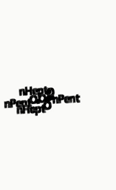 CCCCCCCOC(CCCCC)=C(OCCCCCCC)OCOCCCCC